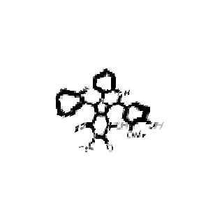 COc1cc(C2Nc3ccccc3-n3c(-c4ccccc4F)c4c(=O)n(C)c(=O)n(C)c4c32)ccc1O